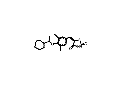 Cc1cc(C=C2SC(=O)NC2=O)cc(C)c1OC(C)C1CCCCC1